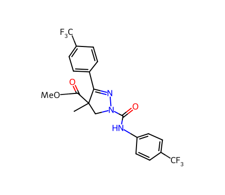 COC(=O)C1(C)CN(C(=O)Nc2ccc(C(F)(F)F)cc2)N=C1c1ccc(C(F)(F)F)cc1